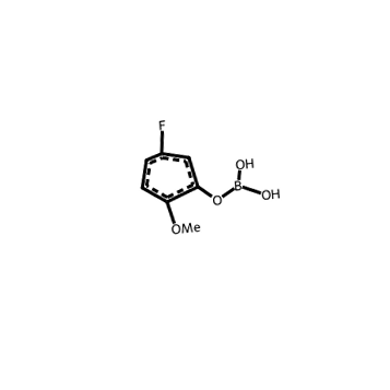 COc1ccc(F)cc1OB(O)O